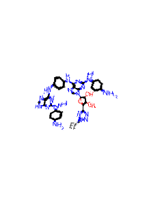 CCn1nnc([C@H]2O[C@@H](n3cnc4c(NC5CCC(Nc6nc(NC7CCC(N)CC7)nc7[nH]cnc67)CC5)nc(NC5CCC(N)CC5)nc43)[C@@H](O)[C@H]2O)n1